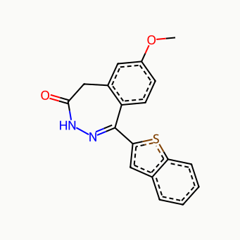 COc1ccc2c(c1)CC(=O)NN=C2c1cc2ccccc2s1